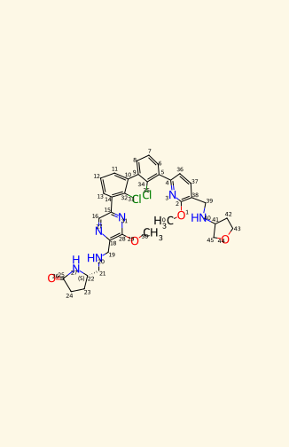 COc1nc(-c2cccc(-c3cccc(-c4cnc(CNC[C@@H]5CCC(=O)N5)c(OC)n4)c3Cl)c2Cl)ccc1CNC1CCOC1